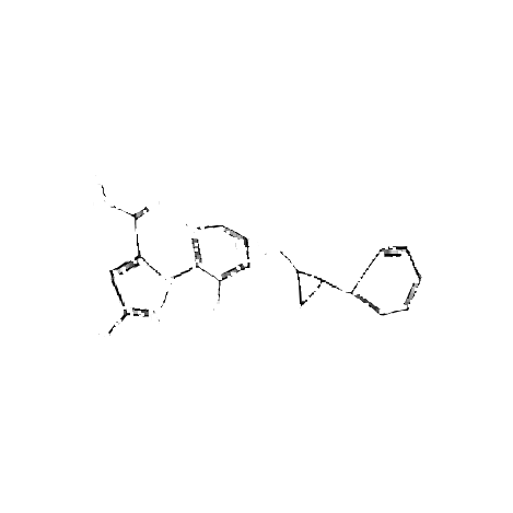 CCNC(=O)c1cc(Br)nn1-c1ncccc1Cl.O=C(O)C1CC1c1ccccc1